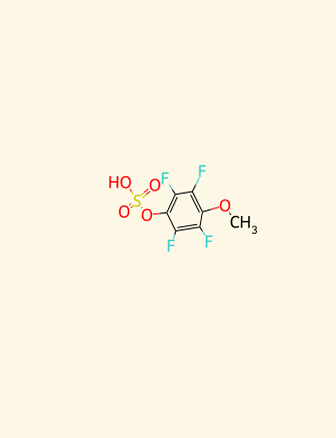 COc1c(F)c(F)c(OS(=O)(=O)O)c(F)c1F